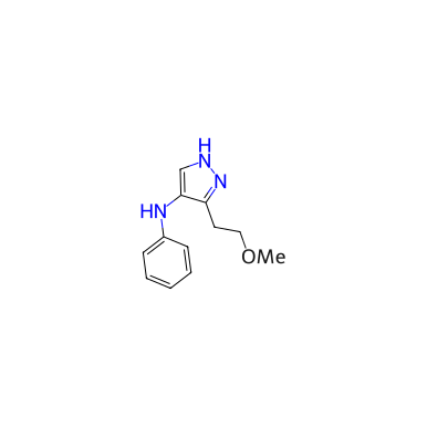 COCCc1n[nH]cc1Nc1ccccc1